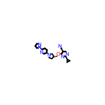 N#Cc1cnc(C2CC2)nc1OC[C@H]1CCN(c2ccc(-n3cccn3)nc2)C1